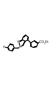 CCOC(=O)c1cccc(-c2cccc3nn(Cc4ccc(F)cc4)cc23)c1